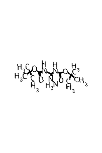 CC(C)(C)OC(=O)NC(=NN)NC(=O)OC(C)(C)C